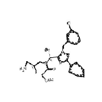 COCC(=O)N(C[C@@H](F)CN)[C@@H](c1nc(-c2ccccc2)cn1Cc1cccc(Cl)c1)C(C)(C)C